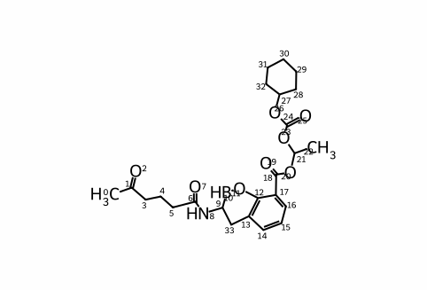 CC(=O)CCCC(=O)NC1BOc2c(cccc2C(=O)OC(C)OC(=O)OC2CCCCC2)C1